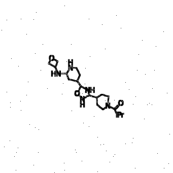 CC(C)C(=O)N1CCC(C2NOC(C3CCNC(NC4COC4)C3)N2)CC1